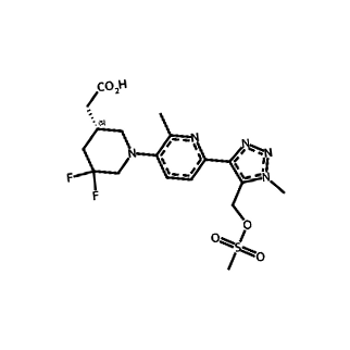 Cc1nc(-c2nnn(C)c2COS(C)(=O)=O)ccc1N1C[C@@H](CC(=O)O)CC(F)(F)C1